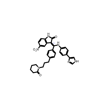 O=C1Nc2ccc([N+](=O)[O-])cc2/C1=C(/Nc1ccc(-c2c[nH]cn2)cc1)c1ccc(CCCN2CCCCC2=O)cc1